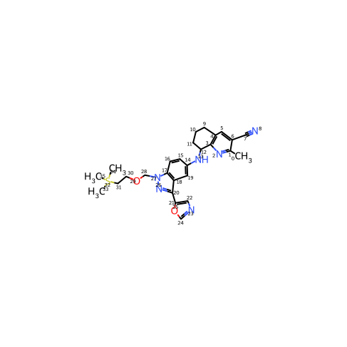 Cc1nc2c(cc1C#N)CCCC2Nc1ccc2c(c1)c(-c1cnco1)nn2COCCS(C)(C)C